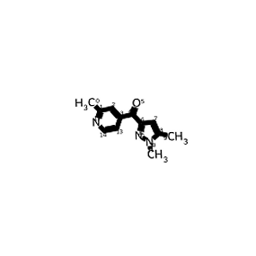 Cc1cc(C(=O)c2cc(C)n(C)n2)ccn1